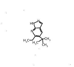 CCc1nc2[nH]ncc2cc1C(C)(C)C